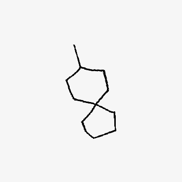 CC1CCC2(CCCC2)CC1